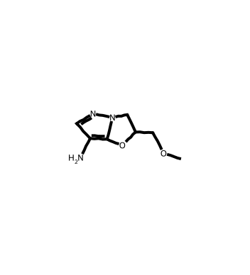 COCC1Cn2ncc(N)c2O1